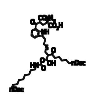 CCCCCCCCCCCCCCCCCCNC(=O)OC(O)C(CSCCC1Nc2c(C(=O)C(C[C@H](N)C(=O)O)C(=O)O)cccc21)C(=O)CCCCCCCCCCCCCCC